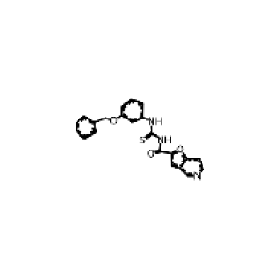 O=C(NC(=S)Nc1cccc(OCc2ccccc2)c1)c1cc2cnccc2o1